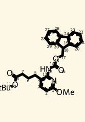 COc1ccc(CCCC(=O)OC(C)(C)C)c(NC(=O)OCC2c3ccccc3-c3ccccc32)n1